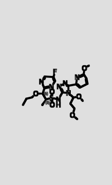 CCCO[C@@H](c1ncc(F)cn1)[C@H](C)S(=O)(=O)Nc1nnc(-c2cccc(OC)n2)n1C(CCOC)OC